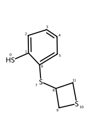 Sc1ccccc1SC1CSC1